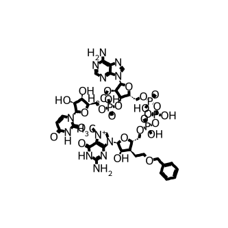 CO[C@@H]1[C@H](OP(=O)(O)OC[C@H]2O[C@@H](n3ccc(=O)[nH]c3=O)[C@H](O)[C@@H]2O)[C@@H](COP(=O)(O)OP(=O)(O)OP(=O)(O)OC[C@H]2O[C@@H](n3c[n+](C)c4c(=O)[nH]c(N)nc43)[C@H](O)[C@@H]2CCOCc2ccccc2)O[C@H]1n1cnc2c(N)ncnc21